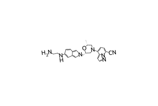 C[C@@H]1CN(c2ccc(C#N)n3nccc23)C[C@H](Cn2cc3ccc(NCCN)cc3c2)O1